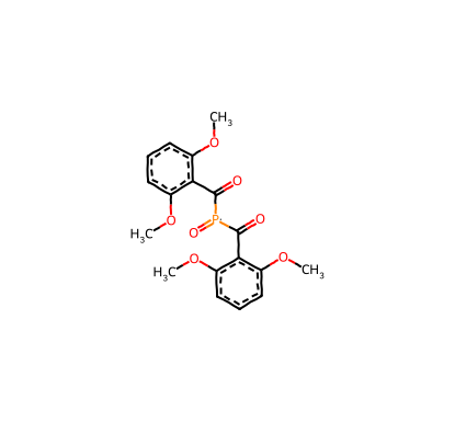 COc1cccc(OC)c1C(=O)[P](=O)C(=O)c1c(OC)cccc1OC